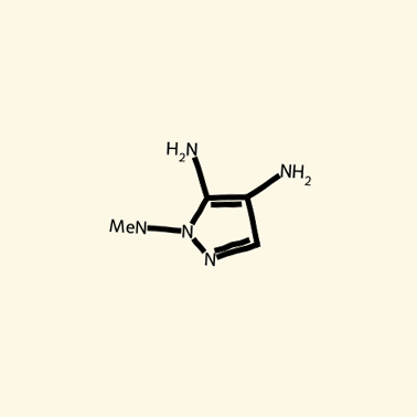 CNn1ncc(N)c1N